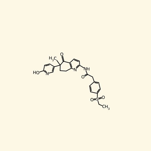 CCS(=O)(=O)c1ccc(CC(=O)Nc2ccc3c(n2)CCC(C)(c2ccc(O)nc2)C3=O)cc1